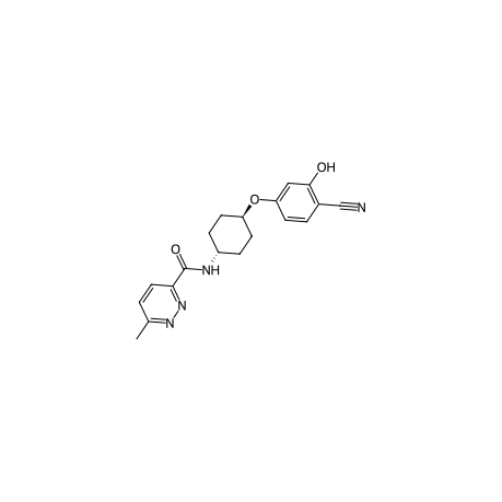 Cc1ccc(C(=O)N[C@H]2CC[C@H](Oc3ccc(C#N)c(O)c3)CC2)nn1